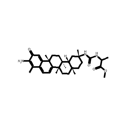 COC(=O)C(C)NC(=O)N[C@]1(C)CC[C@]2(C)CC[C@]3(C)C4=CC=C5C(=CC(=O)C(N)=C5C)[C@]4(C)CC[C@@]3(C)[C@@H]2C1